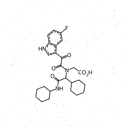 O=C(O)CN(C(=O)C(=O)c1c[nH]c2ccc(F)cc12)C(C(=O)NC1CCCCC1)C1CCCCC1